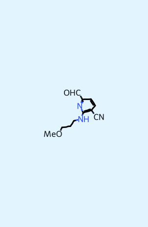 COCCCNc1nc(C=O)ccc1C#N